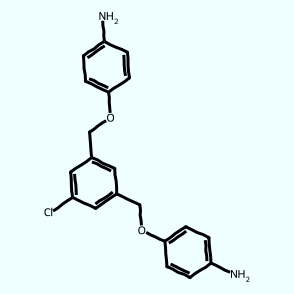 Nc1ccc(OCc2cc(Cl)cc(COc3ccc(N)cc3)c2)cc1